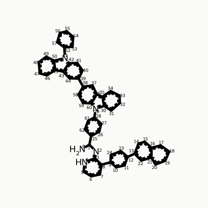 NC(/N=c1\[nH]cccc1-c1ccc(-c2ccc3ccccc3c2)cc1)c1ccc(-n2c3ccccc3c3cc(-c4ccc5c(c4)c4ccccc4n5-c4ccccc4)ccc32)cc1